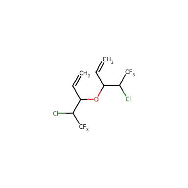 C=CC(OC(C=C)C(Cl)C(F)(F)F)C(Cl)C(F)(F)F